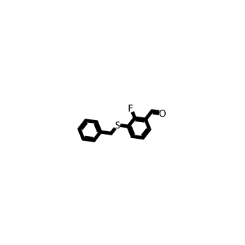 O=Cc1cccc(SCc2ccccc2)c1F